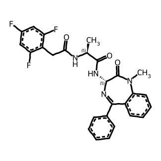 C[C@H](NC(=O)Cc1c(F)cc(F)cc1F)C(=O)N[C@H]1N=C(c2ccccc2)c2ccccc2N(C)C1=O